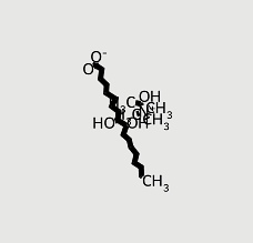 CC(O)[N+](C)(C)C.CCCCCCCCC(O)C(O)CCCCCCCC(=O)[O-]